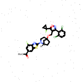 COC(=O)c1cc(F)c2nc(N3CCC4(OCc5c(-c6c(Cl)cccc6Cl)noc5C5(F)CC5)CC[C@H]3C4)sc2c1